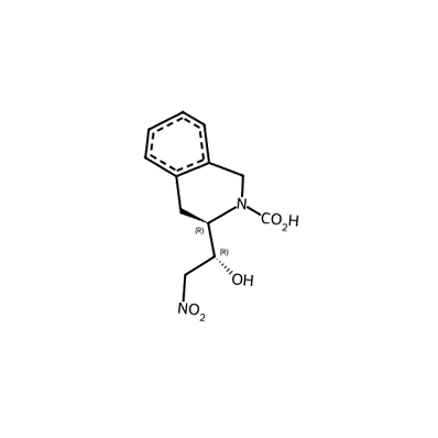 O=C(O)N1Cc2ccccc2C[C@@H]1[C@H](O)C[N+](=O)[O-]